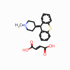 CN1CCC(=C2c3ccccc3Sc3ccccc32)CC1.O=C(O)C=CC(=O)O